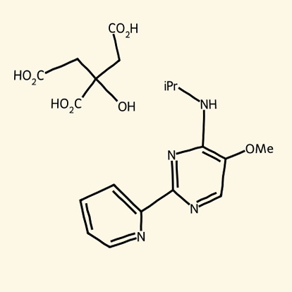 COc1cnc(-c2ccccn2)nc1NC(C)C.O=C(O)CC(O)(CC(=O)O)C(=O)O